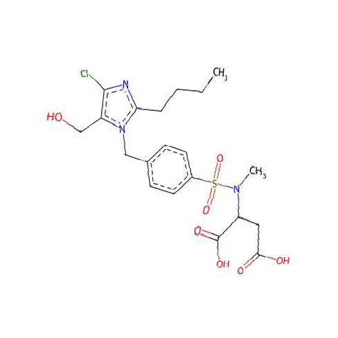 CCCCc1nc(Cl)c(CO)n1Cc1ccc(S(=O)(=O)N(C)C(CC(=O)O)C(=O)O)cc1